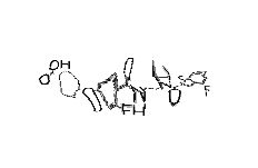 O=C(NCCNC(=O)c1ccc(O[C@H]2CC[C@@H](C(=O)O)CC2)cc1F)c1cc2c(F)cccc2s1